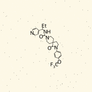 CCC(NC(=O)N1CCC2(CC1)CCN(c1ccc(OC(F)(F)F)cc1)C2=O)c1ccncc1